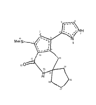 CSc1sc(-c2cc[nH]n2)c2c1C(=O)NC1(CCCC1)C2